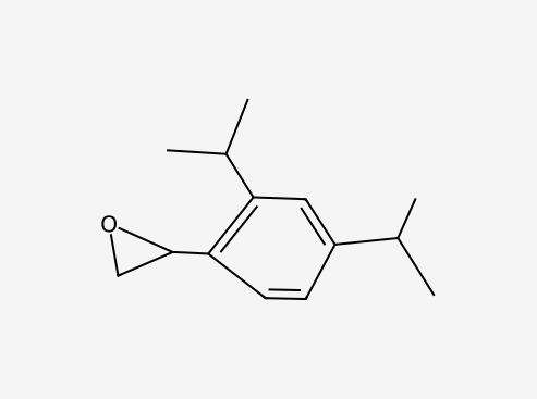 CC(C)c1ccc(C2CO2)c(C(C)C)c1